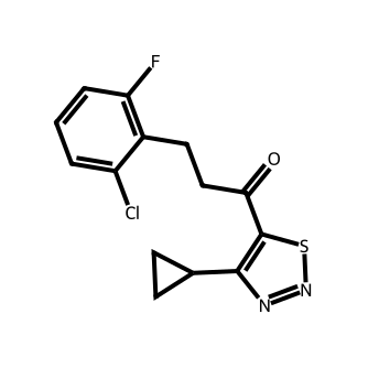 O=C(CCc1c(F)cccc1Cl)c1snnc1C1CC1